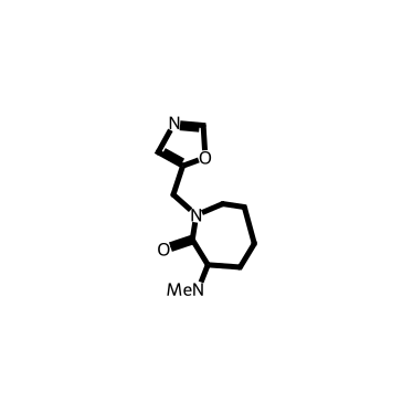 CNC1CCCCN(Cc2cnco2)C1=O